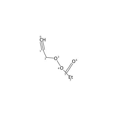 C#CCOOC(=O)CC